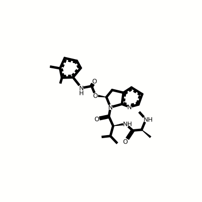 CN[C@@H](C)C(=O)N[C@H](C(=O)N1c2ncccc2C[C@@H]1OC(=O)Nc1cccc(C)c1C)C(C)C